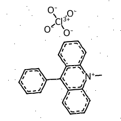 C[n+]1c2ccccc2c(-c2ccccc2)c2ccccc21.[O-][Cl+3]([O-])([O-])[O-]